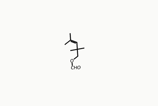 CC(C)=CC(C)(C)COC=O